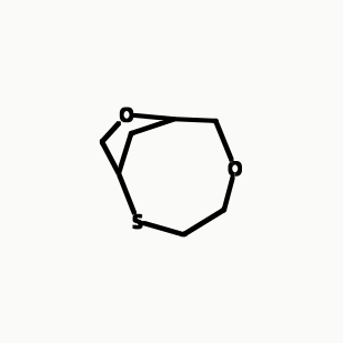 C1CSC2COC(CO1)C2